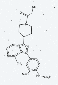 COc1cc(-c2nc(C3CCN(C(=O)CN)CC3)n3ccnc(C)c23)ccc1NC(=O)O